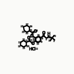 CC(C)(C)NCC(=O)c1ccc(OC(=O)C2CCCCC2)c(OC(=O)C2CCCCC2)c1.Cl